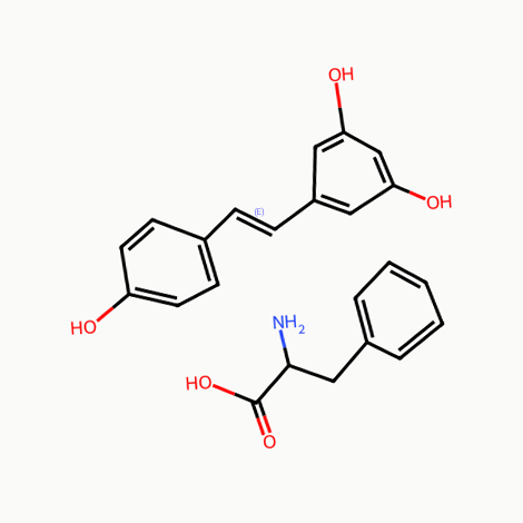 NC(Cc1ccccc1)C(=O)O.Oc1ccc(/C=C/c2cc(O)cc(O)c2)cc1